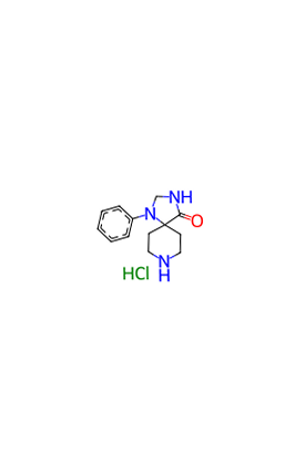 Cl.O=C1NCN(c2ccccc2)C12CCNCC2